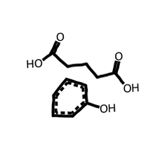 O=C(O)CCCC(=O)O.Oc1ccccc1